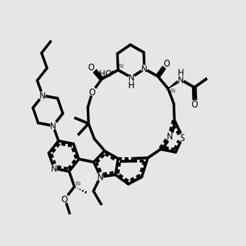 CCCCN1CCN(c2cnc([C@H](C)OC)c(-c3c4c5cc(ccc5n3CC)-c3csc(n3)C[C@H](NC(C)=O)C(=O)N3CCC[C@@](O)(N3)C(=O)OCC(C)(C)C4)c2)CC1